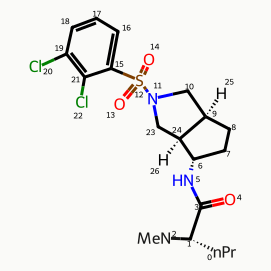 CCC[C@H](NC)C(=O)N[C@H]1CC[C@@H]2CN(S(=O)(=O)c3cccc(Cl)c3Cl)C[C@@H]21